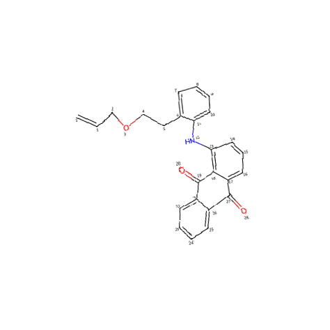 C=CCOCCc1ccccc1Nc1cccc2c1C(=O)c1ccccc1C2=O